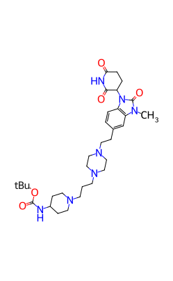 Cn1c(=O)n(C2CCC(=O)NC2=O)c2ccc(CCN3CCN(CCCN4CCC(NC(=O)OC(C)(C)C)CC4)CC3)cc21